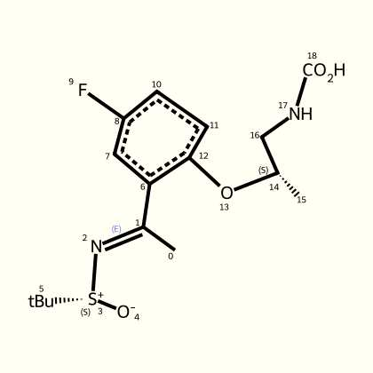 C/C(=N\[S@+]([O-])C(C)(C)C)c1cc(F)ccc1O[C@@H](C)CNC(=O)O